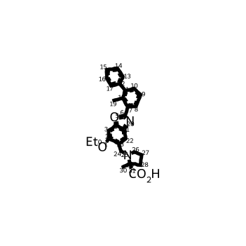 CCOc1cc2oc(-c3cccc(-c4ccccc4)c3C)nc2cc1CN1CCCC1(C)C(=O)O